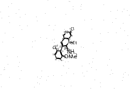 CCN1c2cc(Cl)ncc2C=C(c2c(Cl)cccc2OC)C1N